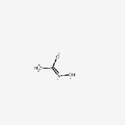 [CH2]C(Cl)=NO